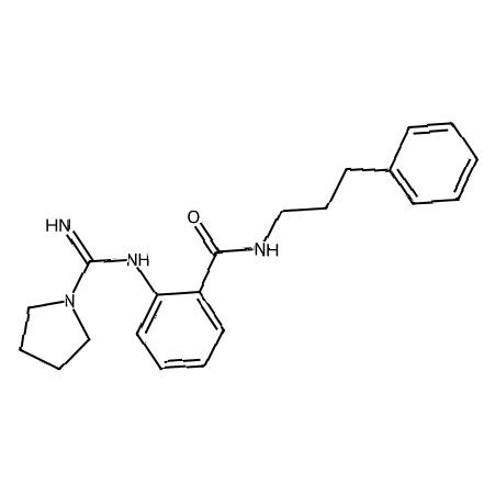 N=C(Nc1ccccc1C(=O)NCCCc1ccccc1)N1CCCC1